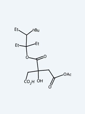 CCCCC(CC)C(CC)(CC)OC(=O)C(O)(CC(=O)O)CC(=O)OC(C)=O